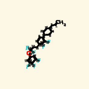 CCCC1CCC(c2ccc(CCC(F)(F)Oc3cc(F)c(F)c(F)c3)c(F)c2F)CC1